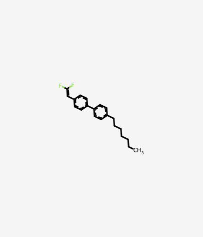 CCCCCCCc1ccc(-c2ccc(C=C(F)F)cc2)cc1